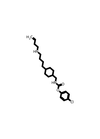 C=CCCNCCCCC1CCC(CNC(=O)Oc2ccc(Cl)cc2)CC1